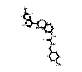 Cc1ncc(NC(=O)NCC2CCN(C(C)C)CC2)cc1NC(=O)c1cnn2cc(Br)sc12